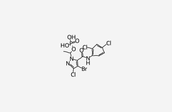 CC(OP(=O)(O)O)n1nc(Cl)c(Br)c1C(=O)Nc1ccc(Cl)cc1Cl